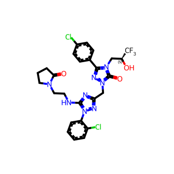 O=C1CCCN1CCNc1nc(Cn2nc(-c3ccc(Cl)cc3)n(C[C@H](O)C(F)(F)F)c2=O)nn1-c1ccccc1Cl